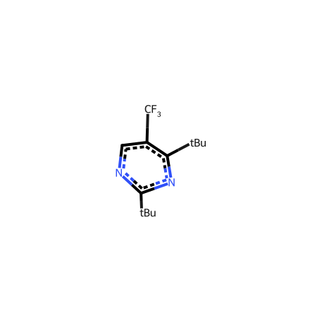 CC(C)(C)c1ncc(C(F)(F)F)c(C(C)(C)C)n1